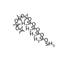 C[Si](C)(C)O[Si](C)(C)O[Si](C)(C)O[Si](C)(C)O[SiH2]O[SiH2]O[SiH2]O[SiH2]O[SiH3]